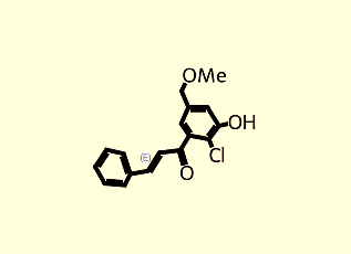 COCc1cc(O)c(Cl)c(C(=O)/C=C/c2ccccc2)c1